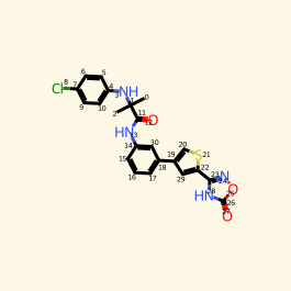 CC(C)(Nc1ccc(Cl)cc1)C(=O)Nc1cccc(-c2csc(-c3noc(=O)[nH]3)c2)c1